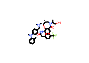 Cc1ccccc1N(C)c1ccc(CN(C)C[C@H]2Oc3c(NC(=O)Cc4ccc(C(F)(F)F)cc4)cccc3C(=O)N(C(C)CO)C[C@H]2C)cc1